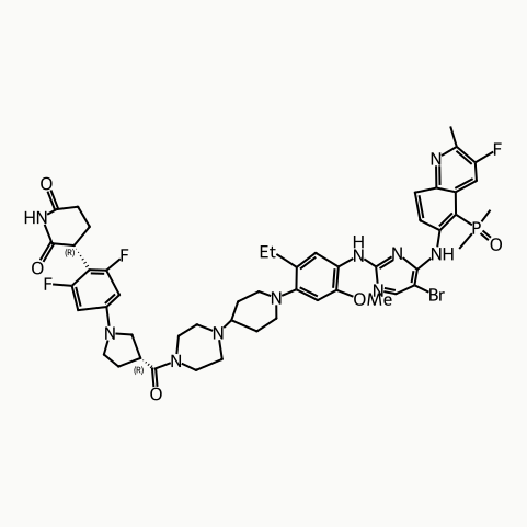 CCc1cc(Nc2ncc(Br)c(Nc3ccc4nc(C)c(F)cc4c3P(C)(C)=O)n2)c(OC)cc1N1CCC(N2CCN(C(=O)[C@@H]3CCN(c4cc(F)c([C@H]5CCC(=O)NC5=O)c(F)c4)C3)CC2)CC1